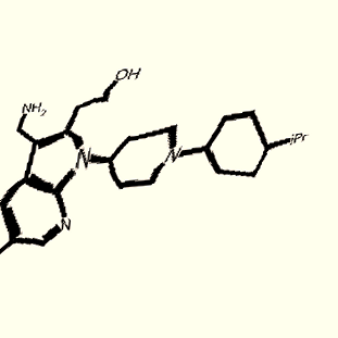 CC(C)C1CCC(N2CCC(n3c(CCO)c(CN)c4cc(F)cnc43)CC2)CC1